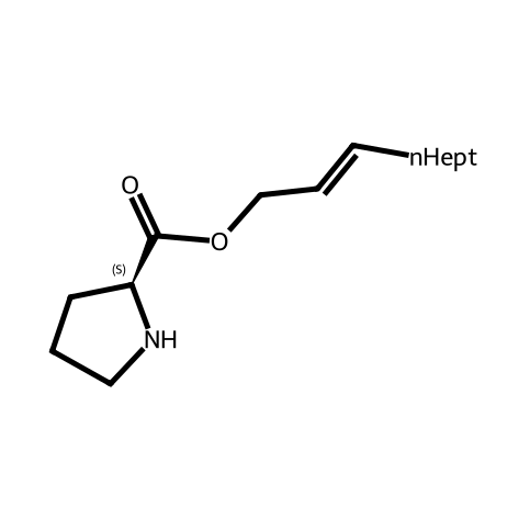 CCCCCCCC=CCOC(=O)[C@@H]1CCCN1